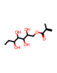 C=C(C)C(=O)OCC(O)C(O)C(O)C(O)CC